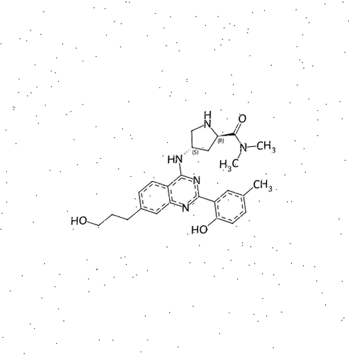 Cc1ccc(O)c(-c2nc(N[C@@H]3CN[C@@H](C(=O)N(C)C)C3)c3ccc(CCCO)cc3n2)c1